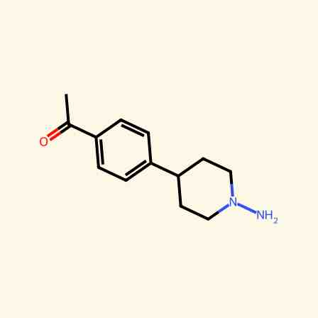 CC(=O)c1ccc(C2CCN(N)CC2)cc1